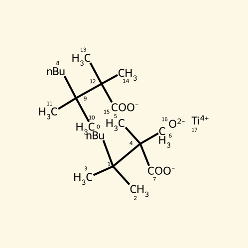 CCCCC(C)(C)C(C)(C)C(=O)[O-].CCCCC(C)(C)C(C)(C)C(=O)[O-].[O-2].[Ti+4]